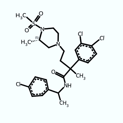 CC(NC(=O)C(C)(CCN1CCN(S(C)(=O)=O)[C@@H](C)C1)c1ccc(Cl)c(Cl)c1)c1ccc(Cl)cc1